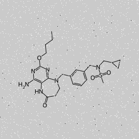 CCCCOc1nc(N)c2c(n1)N(Cc1cccc(CN(CC3CC3)S(C)(=O)=O)c1)CCC(=O)N2